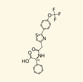 O=C(Cc1csc(-c2ccc(OC(F)(F)F)cc2)n1)N[C@H](C(=O)O)c1ccccc1